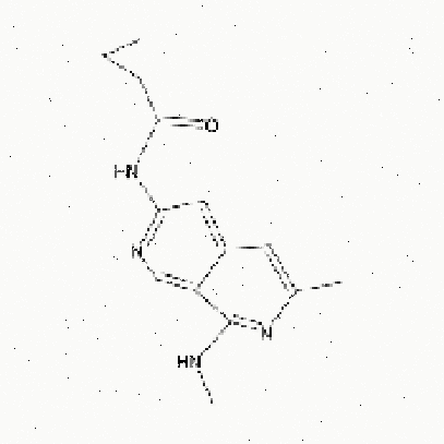 CNc1nc(C)cc2cc(NC(=O)C3CC3)ncc12